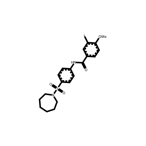 COc1ccc(C(=O)Nc2ccc(S(=O)(=O)N3CCCCCC3)cc2)cc1I